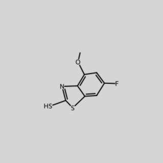 COc1cc(F)cc2sc(S)nc12